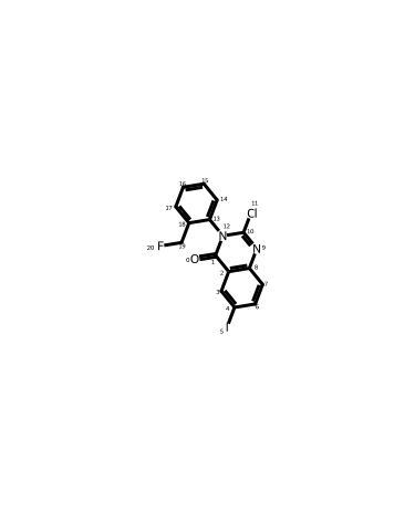 O=c1c2cc(I)ccc2nc(Cl)n1-c1ccccc1CF